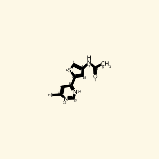 CC(=O)Nc1csc(-c2cc(I)ncn2)c1